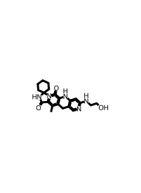 Cc1c2c(c(=O)n3c1C(=O)NC31CCCCC1)Nc1cc(NCCO)ncc1C2